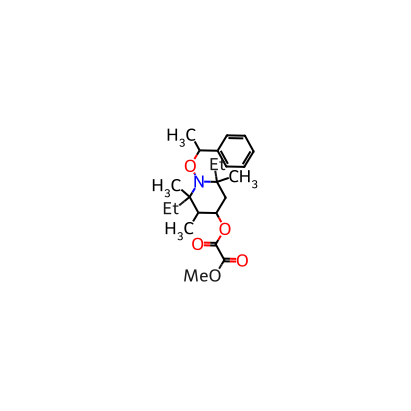 CCC1(C)CC(OC(=O)C(=O)OC)C(C)C(C)(CC)N1OC(C)c1ccccc1